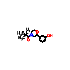 CC(C)(C)C(=O)N1CCOC(c2cccc(O)c2)C1